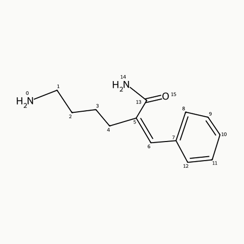 NCCCCC(=Cc1ccccc1)C(N)=O